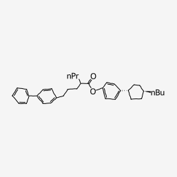 CCCC[C@H]1CC[C@H](c2ccc(OC(=O)C(CCC)CCCc3ccc(-c4ccccc4)cc3)cc2)CC1